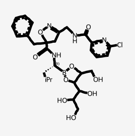 CC(C)C[C@H](NC(=O)C1(Cc2ccccc2)CC(CNC(=O)c2cccc(Cl)n2)=NO1)B1OC(CO)C(C(O)C(O)CO)O1